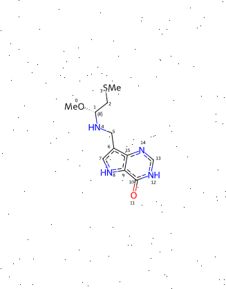 CO[C@H](CSC)NCc1c[nH]c2c(=O)[nH]cnc12